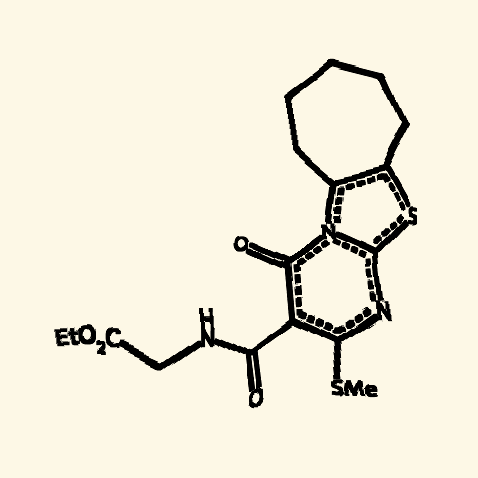 CCOC(=O)CNC(=O)c1c(SC)nc2sc3c(n2c1=O)CCCCC3